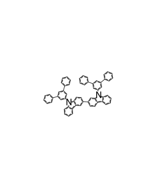 c1ccc(-c2cc(-c3ccccc3)cc(-n3c4ccccc4c4cc(-c5ccc6c7ccccc7n(-c7cc(-c8ccccc8)cc(-c8ccccc8)c7)c6c5)ccc43)c2)cc1